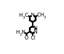 Cc1cc(-c2cc(C(N)=O)c(Cl)nn2)cc(C)n1